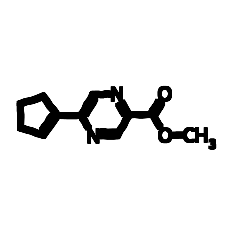 COC(=O)c1cnc(C2=CCCC2)cn1